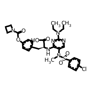 CCN(CC)c1ncc(N(C)S(=O)(=O)c2ccc(Cl)cc2)c(N[C@@H](Cc2ccc(OC(=O)N3CCC3)cc2)C(=O)O)n1